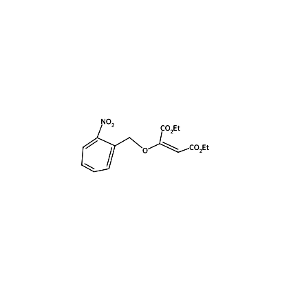 CCOC(=O)/C=C(/OCc1ccccc1[N+](=O)[O-])C(=O)OCC